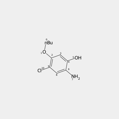 CCCCOc1cc(O)c(N)cc1Cl